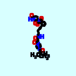 CC(C)(C)CC(=O)N1CCN(C(=O)CC(=O)NCCCC#Cc2cccc3c2C(=O)N(C2CCC(=O)NC2=O)C3=O)CC1